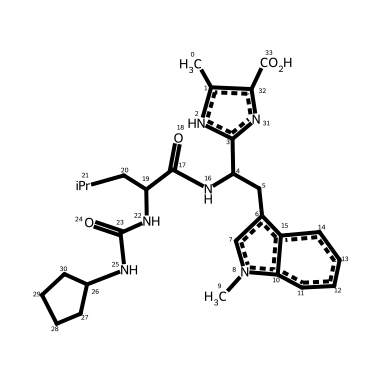 Cc1[nH]c(C(Cc2cn(C)c3ccccc23)NC(=O)C(CC(C)C)NC(=O)NC2CCCC2)nc1C(=O)O